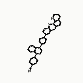 N#Cc1ccc(-c2ccc(-c3ccc(-c4ccc5nc6c(ccc7cccnc76)cc5c4)cc3)c3ccccc23)cc1